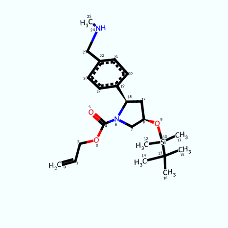 C=CCOC(=O)N1C[C@H](O[Si](C)(C)C(C)(C)C)C[C@@H]1c1ccc(CNC)cc1